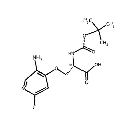 CC(C)(C)OC(=O)N[C@@H](COc1cc(F)ncc1N)C(=O)O